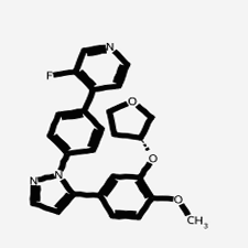 COc1ccc(-c2ccnn2-c2ccc(-c3ccncc3F)cc2)cc1O[C@@H]1CCOC1